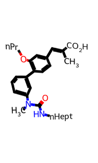 CCCCCCCNC(=O)N(C)c1cccc(-c2ccc(C=C(C)C(=O)O)cc2OCCC)c1